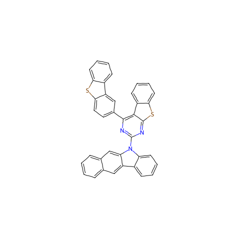 c1ccc2cc3c(cc2c1)c1ccccc1n3-c1nc(-c2ccc3sc4ccccc4c3c2)c2c(n1)sc1ccccc12